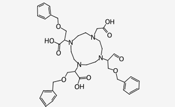 O=CC(COCc1ccccc1)N1CCN(CC(=O)O)CCN(C(COCc2ccccc2)C(=O)O)CCN(C(COCc2ccccc2)C(=O)O)CC1